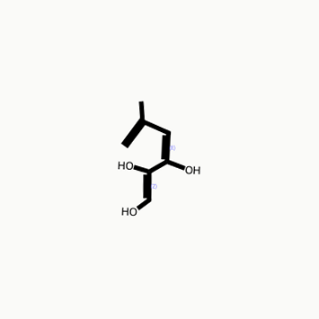 C=C(C)/C=C(O)\C(O)=C\O